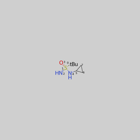 CC(C)(C)S(=N)(=O)NC1CC1